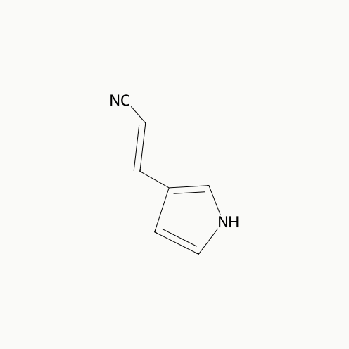 N#CC=Cc1cc[nH]c1